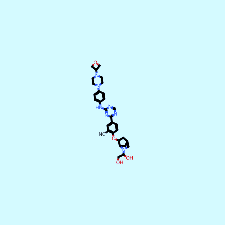 N#Cc1cc(-c2ncnc(Nc3ccc(N4CCN(C5COC5)CC4)cc3)n2)ccc1OC1CC2CC1N(C(O)CO)C2